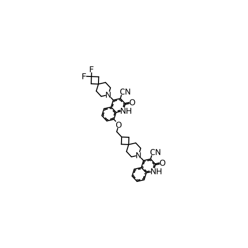 N#Cc1c(N2CCC3(CC2)CC(COc2cccc4c(N5CCC6(CC5)CC(F)(F)C6)c(C#N)c(=O)[nH]c24)C3)c2ccccc2[nH]c1=O